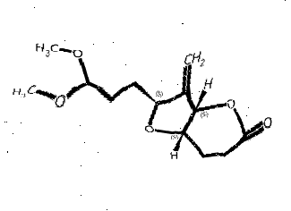 C=C1[C@H](CCC(OC)OC)O[C@H]2CCC(=O)O[C@@H]12